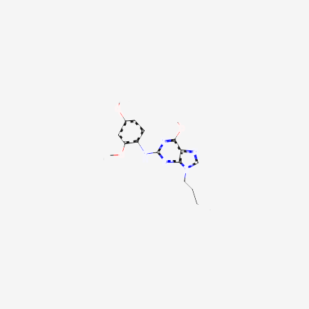 CCCCn1cnc2c(OC)nc(Nc3ccc(OC)cc3OC)nc21